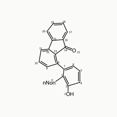 CCCCCCCCCc1c(O)cccc1-c1cccc2c1C(=O)c1ccccc1-2